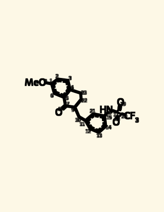 COc1ccc2c(c1)C(=O)C(Cc1cccc(NS(=O)(=O)C(F)(F)F)c1)CC2